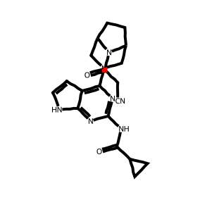 N#CCC(=O)N1C2CCC1CN(c1nc(NC(=O)C3CC3)nc3[nH]ccc13)C2